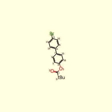 CC(C)(C)C(=O)Oc1ccc(-c2ccc(Br)cc2)cc1